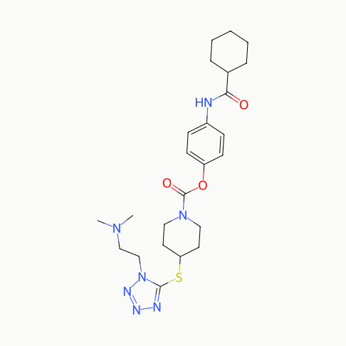 CN(C)CCn1nnnc1SC1CCN(C(=O)Oc2ccc(NC(=O)C3CCCCC3)cc2)CC1